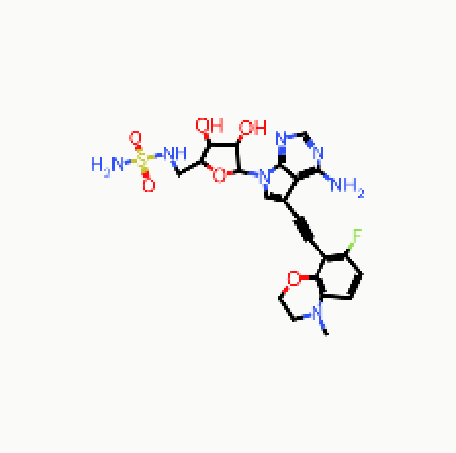 CN1CCOc2c1ccc(F)c2C#Cc1cn(C2OC(CNS(N)(=O)=O)C(O)C2O)c2ncnc(N)c12